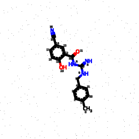 Cc1ccc(CNC(=N)NC(=O)c2cc(C#N)ccc2O)cc1